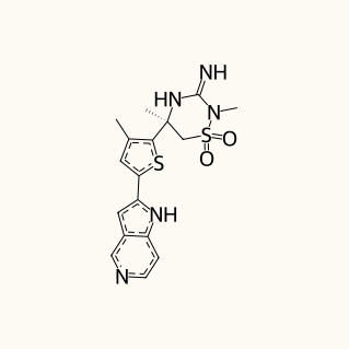 Cc1cc(-c2cc3cnccc3[nH]2)sc1[C@]1(C)CS(=O)(=O)N(C)C(=N)N1